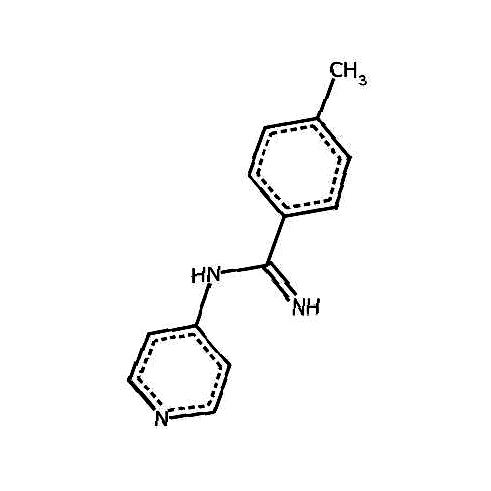 Cc1ccc(C(=N)Nc2ccncc2)cc1